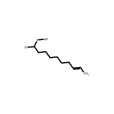 CC=CCCCCCCC(CC)SCCC